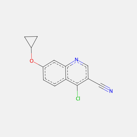 N#Cc1cnc2cc(OC3CC3)ccc2c1Cl